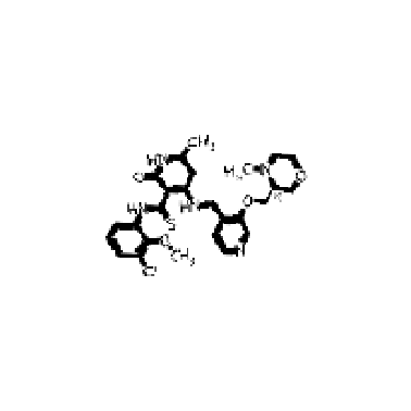 COc1c(Cl)cccc1NC(=S)C1=C(NCc2ccncc2OC[C@@H]2COCCN2C)CC(C)NC1=O